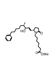 COC(=O)CCCCCCN1C(=O)CC[C@@H]1/C=C/[C@@H](O)[C@H](C)CCCCCc1ccccc1